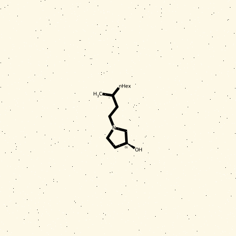 CCCCCCC(C)CCN1CC[C@H](O)C1